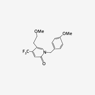 COCCc1cn(Cc2ccc(OC)cc2)c(=O)cc1C(F)(F)F